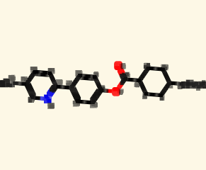 CCCCCCCC1CCC(C(=O)Oc2ccc(-c3ccc(CCCC)cn3)cc2)CC1